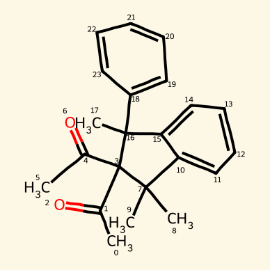 CC(=O)C1(C(C)=O)C(C)(C)c2ccccc2C1(C)c1ccccc1